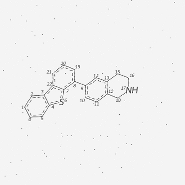 c1ccc2c(c1)sc1c(-c3ccc4c(c3)CCNC4)cccc12